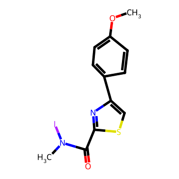 COc1ccc(-c2csc(C(=O)N(C)I)n2)cc1